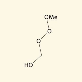 COOOCO